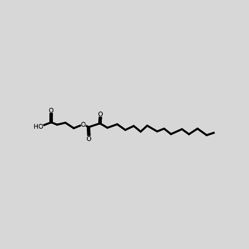 CCCCCCCCCCCCCCC(=O)C(=O)OCCCC(=O)O